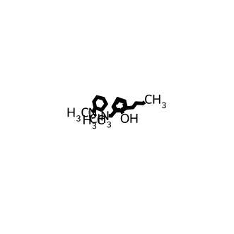 CCCCc1cccc(CN(C)C2CCCCC2N(C)C)c1O